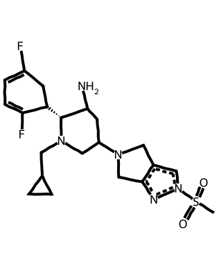 CS(=O)(=O)n1cc2c(n1)CN(C1CC(N)[C@@H](C3CC(F)=CC=C3F)N(CC3CC3)C1)C2